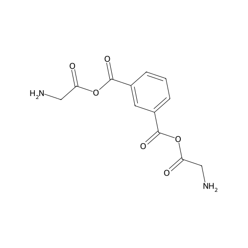 NCC(=O)OC(=O)c1cccc(C(=O)OC(=O)CN)c1